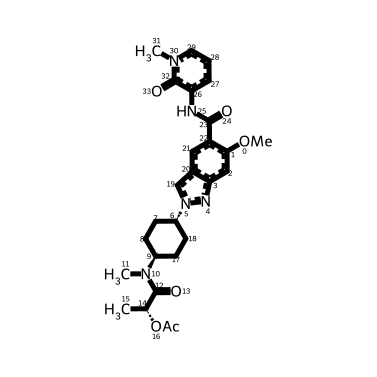 COc1cc2nn([C@H]3CC[C@H](N(C)C(=O)[C@@H](C)OC(C)=O)CC3)cc2cc1C(=O)Nc1cccn(C)c1=O